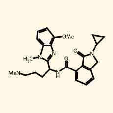 CNCCCC(NC(=O)c1cccc2c1C(=O)N(C1CC1)C2)c1nc2c(OC)cccc2n1C